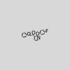 O=C(COc1ccccc1)c1cccnc1Oc1ccc(F)cc1